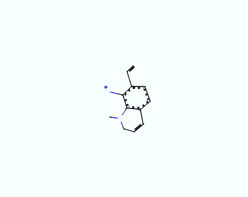 C=Cc1ccc2c(c1N=C)N(C)CC=C2